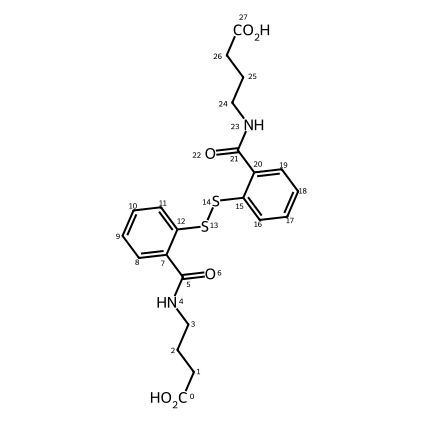 O=C(O)CCCNC(=O)c1ccccc1SSc1ccccc1C(=O)NCCCC(=O)O